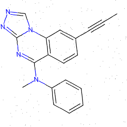 CC#Cc1ccc2c(N(C)c3ccccc3)nc3nncn3c2c1